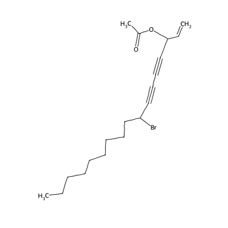 C=CC(C#CC#CC(Br)CCCCCCCCC)OC(C)=O